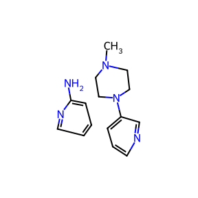 CN1CCN(c2cccnc2)CC1.Nc1ccccn1